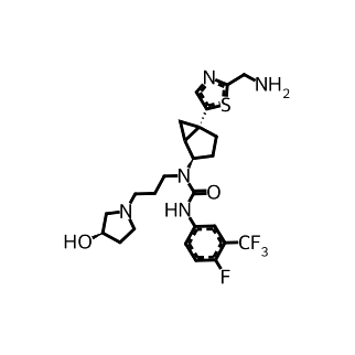 NCc1ncc([C@]23CC[C@@H](N(CCCN4CC[C@@H](O)C4)C(=O)Nc4ccc(F)c(C(F)(F)F)c4)C2C3)s1